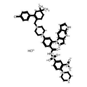 CC1(C)CCC(CN2CCN(c3ccc(C(=O)NS(=O)(=O)c4ccc(N5CCOCC5)c([N+](=O)[O-])c4)c(-n4ncc5nc6[nH]ccc6cc54)c3)CC2)=C(c2ccc(Cl)cc2)C1.Cl